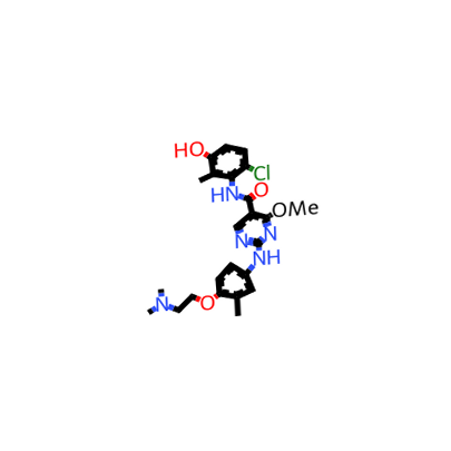 COc1nc(Nc2ccc(OCCN(C)C)c(C)c2)ncc1C(=O)Nc1c(Cl)ccc(O)c1C